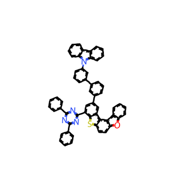 c1ccc(-c2nc(-c3ccccc3)nc(-c3cc(-c4cccc(-c5cccc(-n6c7ccccc7c7ccccc76)c5)c4)cc4c3sc3ccc5oc6ccccc6c5c34)n2)cc1